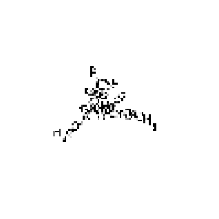 CCOCCOC(=O)n1nc(NC(=O)c2ccc(N3CCN(C)CC3)cc2NC2CCOCC2)c2cc(S(=O)(=O)c3cc(F)cc(F)c3)ccc21